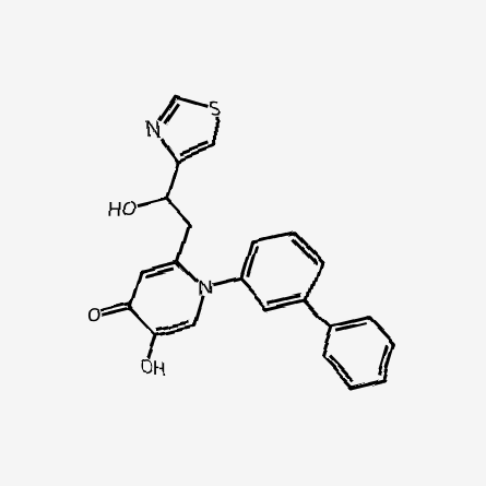 O=c1cc(CC(O)c2cscn2)n(-c2cccc(-c3ccccc3)c2)cc1O